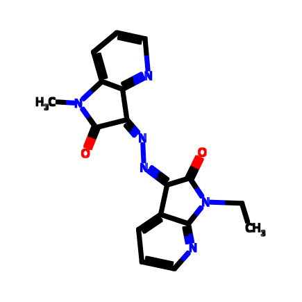 CCN1C(=O)/C(=N\N=C2C(=O)N(C)c3cccnc32)c2cccnc21